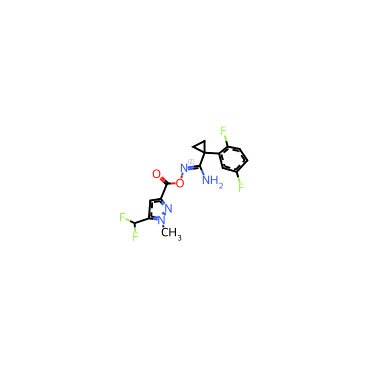 Cn1nc(C(=O)O/N=C(\N)C2(c3cc(F)ccc3F)CC2)cc1C(F)F